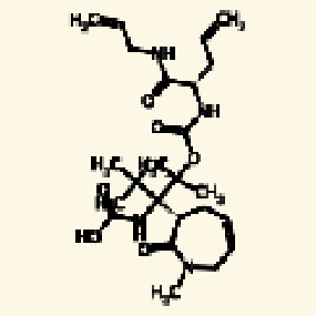 C=CCNC(=O)[C@H](CC=C)NC(=O)OC(C)(C)C(NC(=O)O)([C@@H]1CC=CCN(C)C1=O)C(C)(C)C